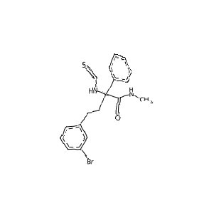 CNC(=O)C(CCc1cccc(Br)c1)(NC=S)c1ccccc1